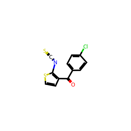 O=C(c1ccc(Cl)cc1)c1ccsc1N=C=S